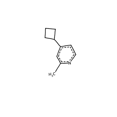 Cc1cc(C2CCC2)ccn1